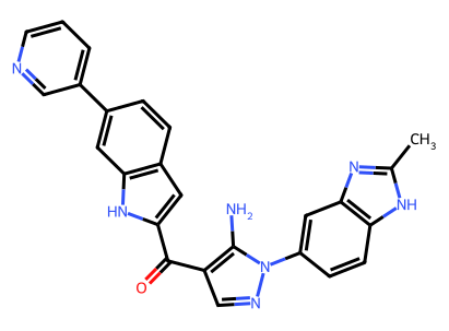 Cc1nc2cc(-n3ncc(C(=O)c4cc5ccc(-c6cccnc6)cc5[nH]4)c3N)ccc2[nH]1